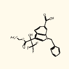 CCOC(=O)C(O)(c1cn(Cc2ccccc2)c2cc(C(=O)O)ccc12)C(F)(F)F